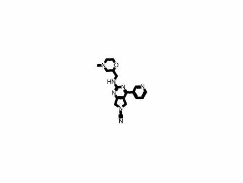 CN1CCOC(CNc2nc3c(c(-c4cccnc4)n2)CN(C#N)C3)C1